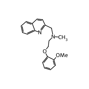 COc1ccccc1OCCN(C)Cc1ccc2ccccc2n1